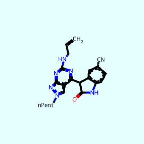 C=CCNc1nc(C2C(=O)Nc3ccc(C#N)cc32)c2cn(CCCCC)nc2n1